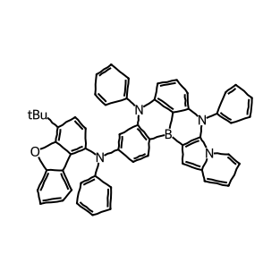 CC(C)(C)c1ccc(N(c2ccccc2)c2ccc3c(c2)N(c2ccccc2)c2cccc4c2B3c2cc3ccccn3c2N4c2ccccc2)c2c1oc1ccccc12